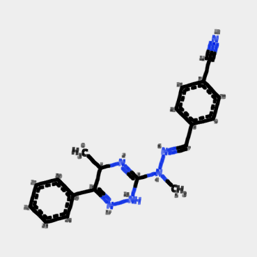 CC1N=C(N(C)N=Cc2ccc(C#N)cc2)NN=C1c1ccccc1